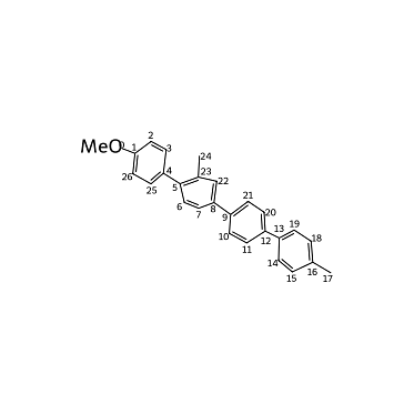 COc1ccc(-c2ccc(-c3ccc(-c4ccc(C)cc4)cc3)cc2C)cc1